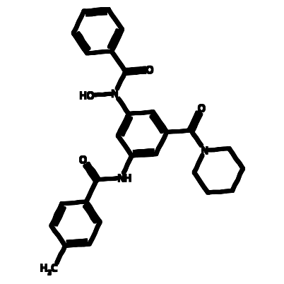 Cc1ccc(C(=O)Nc2cc(C(=O)N3CCCCC3)cc(N(O)C(=O)c3ccccc3)c2)cc1